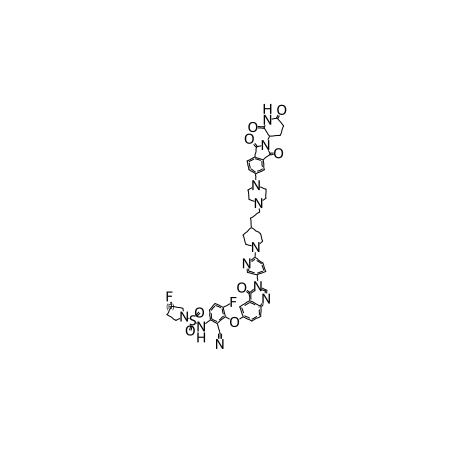 N#Cc1c(NS(=O)(=O)N2CC[C@@H](F)C2)ccc(F)c1Oc1ccc2ncn(-c3ccc(N4CCC(CCN5CCN(c6ccc7c(c6)C(=O)N(C6CCC(=O)NC6=O)C7=O)CC5)CC4)nc3)c(=O)c2c1